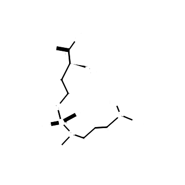 CN(C)CCCN(C)S(=O)(=O)NCC[C@H](N)C(=O)O